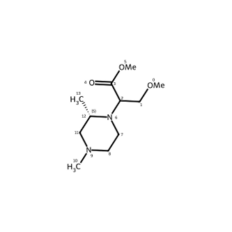 COCC(C(=O)OC)N1CCN(C)C[C@@H]1C